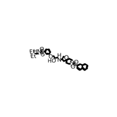 CCC(CC)CNS(=O)(=O)c1cccc(OCC(O)CNC2COC3(CCN(S(=O)(=O)c4ccc5ccccc5c4)CC3)C2)c1